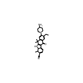 CCc1cc2c(cc1N1CCC(N)CC1)C(C)(C)C1=C(C2=O)C2=CC=C(C#N)C(C)C2N1